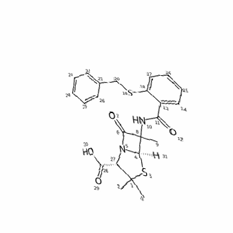 CC1(C)S[C@H]2N(C(=O)C2(C)NC(=O)c2ccccc2SCc2ccccc2)[C@H]1C(=O)O